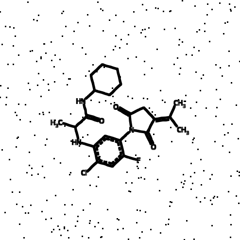 CC(C)=C1CC(=O)N(c2cc(NC(C)C(=O)NC3CCCCC3)c(Cl)cc2F)C1=O